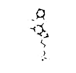 CC(C)Oc1ccccc1Sc1nc(N)nc2c1ncn2CCOCP(=O)(O)O